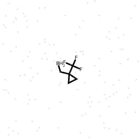 BCC1(C(F)(F)F)CC1